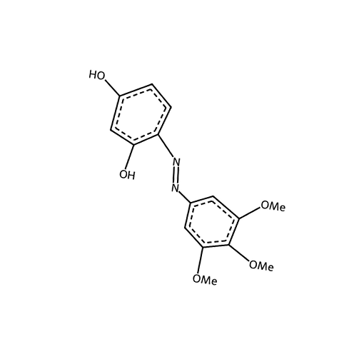 COc1cc(N=Nc2ccc(O)cc2O)cc(OC)c1OC